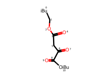 CCC(C)COC(=O)CC(=O)C(=O)OCC(C)C